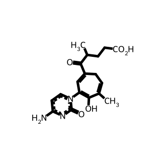 CC1=CCC(C(=O)C(C)CCC(=O)O)=CC(n2ccc(N)nc2=O)=C1O